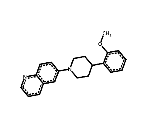 COc1ccccc1C1CCN(c2ccc3ncccc3c2)CC1